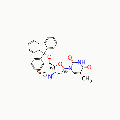 Cc1cn([C@H]2CC(N=C=S)[C@@H](COC(c3ccccc3)(c3ccccc3)c3ccccc3)O2)c(=O)[nH]c1=O